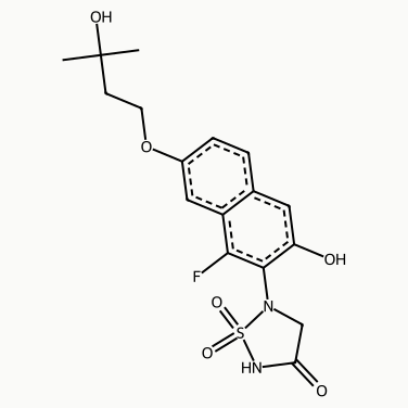 CC(C)(O)CCOc1ccc2cc(O)c(N3CC(=O)NS3(=O)=O)c(F)c2c1